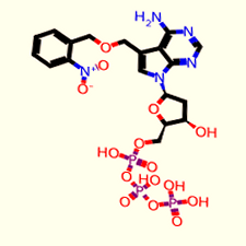 Nc1ncnc2c1c(COCc1ccccc1[N+](=O)[O-])cn2[C@H]1C[C@@H](O)[C@@H](COP(=O)(O)OP(=O)(O)OP(=O)(O)O)O1